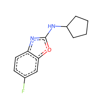 Fc1ccc2nc(NC3CCCC3)oc2c1